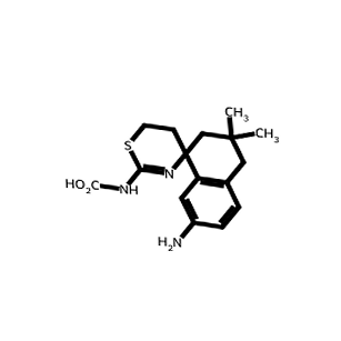 CC1(C)Cc2ccc(N)cc2C2(CCSC(NC(=O)O)=N2)C1